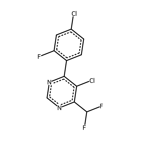 Fc1cc(Cl)ccc1-c1ncnc(C(F)F)c1Cl